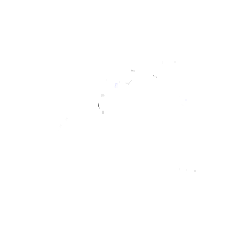 O=C(O)CCC/C=C\CN1C(=O)CC[C@@H]1/C=C/[C@@H](O)Cc1cccc(F)c1